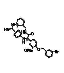 COc1cc([C@@H](Nc2ccc(C(=N)N)cc2)C(=O)NCc2ccccc2)ccc1OCc1cccc(Br)c1